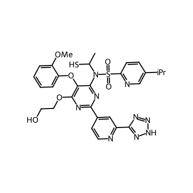 COc1ccccc1Oc1c(OCCO)nc(-c2ccnc(-c3nn[nH]n3)c2)nc1N(C(C)S)S(=O)(=O)c1ccc(C(C)C)cn1